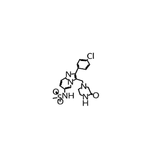 CS(=O)(=O)Nc1ccc2nc(-c3ccc(Cl)cc3)c(CN3CCNC(=O)C3)n2c1